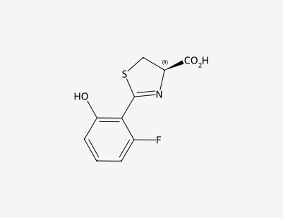 O=C(O)[C@@H]1CSC(c2c(O)cccc2F)=N1